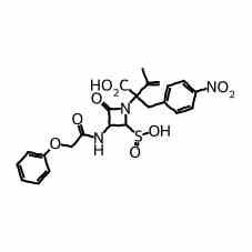 C=C(C)C(Cc1ccc([N+](=O)[O-])cc1)(C(=O)O)N1C(=O)C(NC(=O)COc2ccccc2)C1S(=O)O